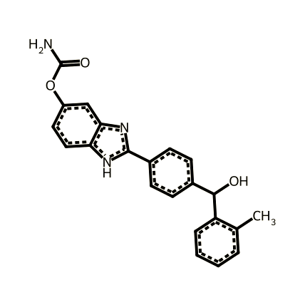 Cc1ccccc1C(O)c1ccc(-c2nc3cc(OC(N)=O)ccc3[nH]2)cc1